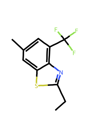 CCc1nc2c(C(F)(F)F)cc(C)cc2s1